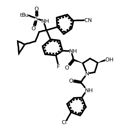 CC(C)(C)S(=O)(=O)NC(CCC1CC1)(c1ccc(C#N)cc1)c1ccc(F)c(NC(=O)[C@H]2C[C@@H](O)CN2C(=O)Nc2ccc(Cl)cc2)c1